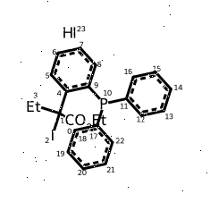 CCOC(=O)C(I)(CC)c1ccccc1P(c1ccccc1)c1ccccc1.I